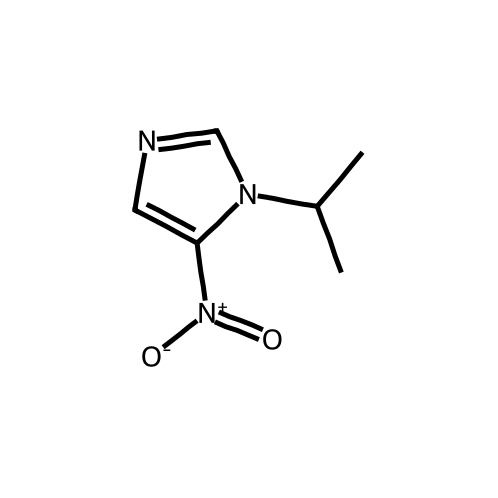 CC(C)n1cncc1[N+](=O)[O-]